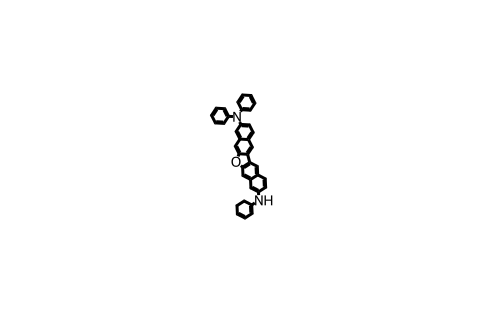 C1=CCCC(Nc2ccc3cc4c(cc3c2)oc2cc3cc(N(c5ccccc5)c5ccccc5)ccc3cc24)=C1